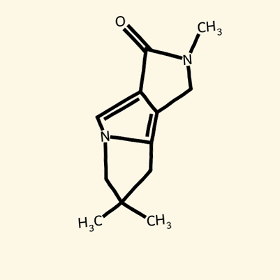 CN1Cc2c(cn3c2CC(C)(C)C3)C1=O